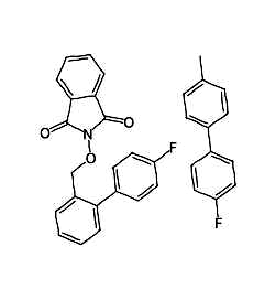 Cc1ccc(-c2ccc(F)cc2)cc1.O=C1c2ccccc2C(=O)N1OCc1ccccc1-c1ccc(F)cc1